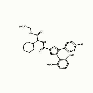 COc1cccc(OC)c1-c1cc(C(=O)NC(C(=O)NCC(=O)O)C2CCCCC2)nn1-c1ccc(Cl)cc1